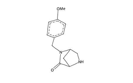 COc1ccc(CN2C(=O)C3CC2CN3)cc1